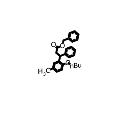 CCCCOc1ccc(C)cc1C(CC(=O)OCc1ccccc1)c1ccccc1